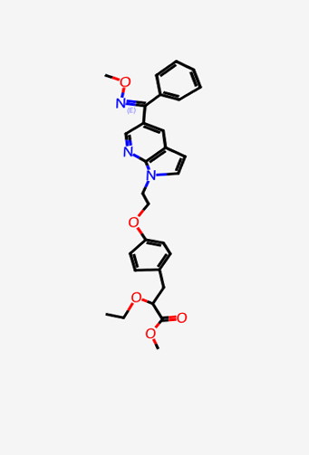 CCOC(Cc1ccc(OCCn2ccc3cc(/C(=N/OC)c4ccccc4)cnc32)cc1)C(=O)OC